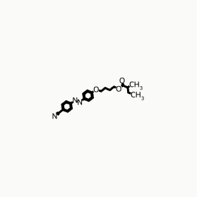 CCC(C)C(=O)OCCCCOc1ccc(N=Nc2ccc(C#N)cc2)cc1